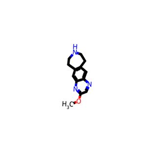 COc1cnc2cc3c(cc2n1)CCNCC3